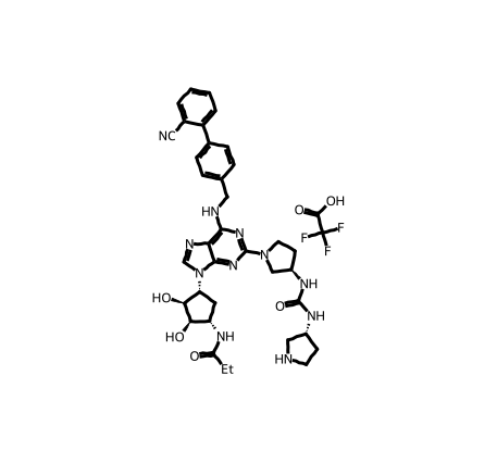 CCC(=O)N[C@H]1C[C@@H](n2cnc3c(NCc4ccc(-c5ccccc5C#N)cc4)nc(N4CC[C@@H](NC(=O)N[C@@H]5CCNC5)C4)nc32)[C@H](O)[C@@H]1O.O=C(O)C(F)(F)F